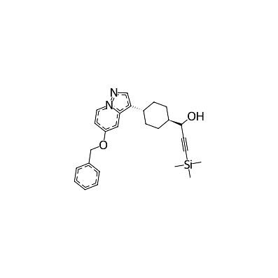 C[Si](C)(C)C#CC(O)[C@H]1CC[C@H](c2cnn3ccc(OCc4ccccc4)cc23)CC1